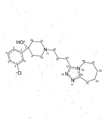 OC1(c2cccc(Cl)c2)CCN(CCCc2nnc3n2CCCCC3)CC1